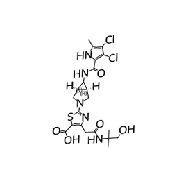 Cc1[nH]c(C(=O)NC2[C@H]3CN(c4nc(CC(=O)NC(C)(C)CO)c(C(=O)O)s4)C[C@@H]23)c(Cl)c1Cl